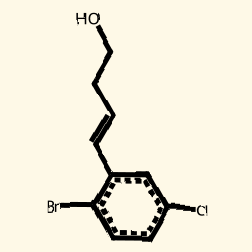 OCCC=Cc1cc(Cl)ccc1Br